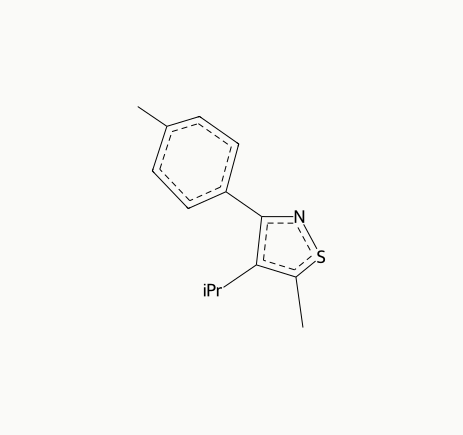 Cc1ccc(-c2nsc(C)c2C(C)C)cc1